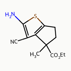 CCOC(=O)C1(C)CCc2sc(N)c(C#N)c21